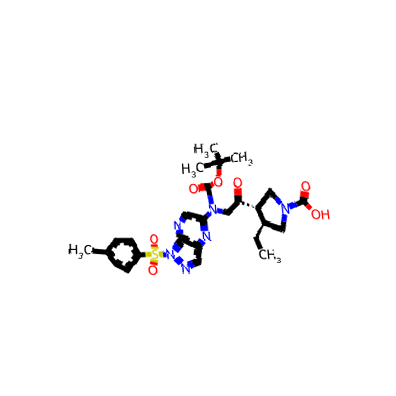 CC[C@@H]1CN(C(=O)O)C[C@H]1C(=O)CN(C(=O)OC(C)(C)C)c1cnc2c(cnn2S(=O)(=O)c2ccc(C)cc2)n1